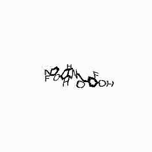 O=C(CN1C[C@H]2CC(Oc3cccnc3F)C[C@H]2C1)c1ccc(O)c(F)c1